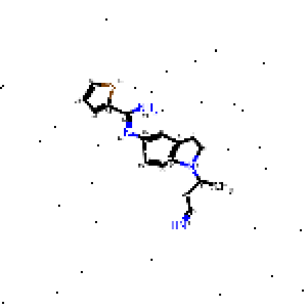 CC(CC=N)N1CCc2cc(N=C(N)c3cccs3)ccc21